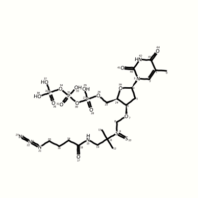 Cc1cn([C@H]2C[C@@H](OCS(=S)C(C)(C)CNC(=O)CCCN=[N+]=[N-])[C@@H](COP(=O)(O)OP(=O)(O)OP(=O)(O)O)O2)c(=O)[nH]c1=O